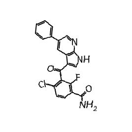 NC(=O)c1ccc(Cl)c(C(=O)c2c[nH]c3ncc(-c4ccccc4)cc23)c1F